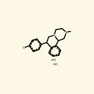 CN1CCN2CC(c3ccc(Cl)cc3)c3ccccc3C2C1.Cl.Cl